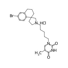 Cc1cn(CCCCCN2CCC3(CCCc4cc(Br)ccc43)C2)c(=O)[nH]c1=O.Cl